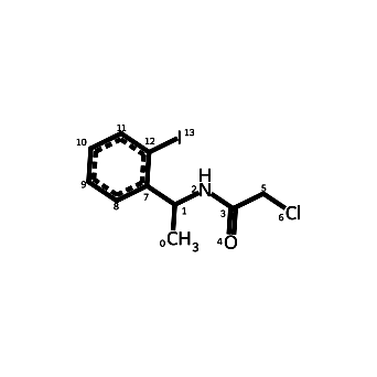 CC(NC(=O)CCl)c1ccccc1I